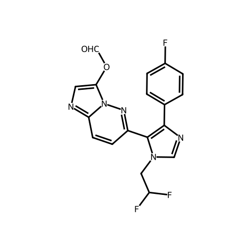 O=COc1cnc2ccc(-c3c(-c4ccc(F)cc4)ncn3CC(F)F)nn12